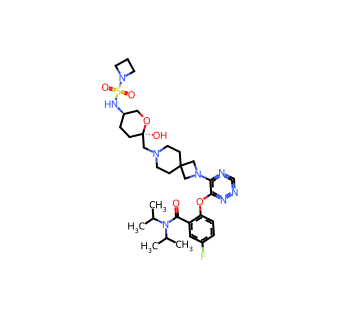 CC(C)N(C(=O)c1cc(F)ccc1Oc1nncnc1N1CC2(CCN(C[C@@]3(O)CC[C@@H](NS(=O)(=O)N4CCC4)CO3)CC2)C1)C(C)C